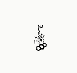 CCN(C)CCC[S+]([O-])NC(=O)Nc1c2c(cc3c1CCC3)CCC2